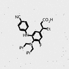 CCC(CC(=O)O)c1cc(F)c(N(CC(C)C)CC(C)C)c(Nc2ccc(C#N)cc2)c1